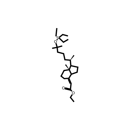 CCOC(=O)/C=C1\CCC[C@@]2(C)C1CCC2[C@H](C)CCCC(C)(C)O[Si](CC)(CC)CC